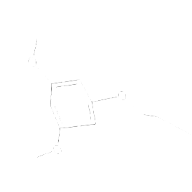 CCCOc1cc(OC)cc(OC)c1